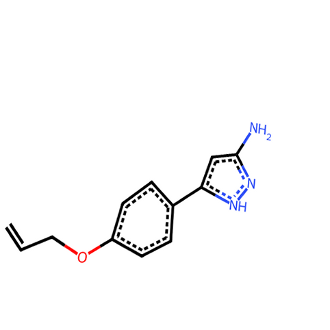 C=CCOc1ccc(-c2cc(N)n[nH]2)cc1